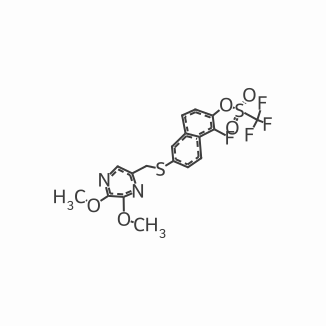 COc1ncc(CSc2ccc3c(F)c(OS(=O)(=O)C(F)(F)F)ccc3c2)nc1OC